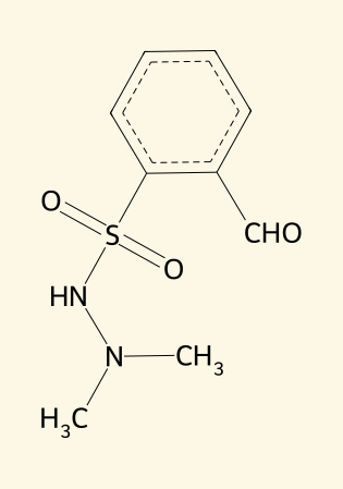 CN(C)NS(=O)(=O)c1ccccc1C=O